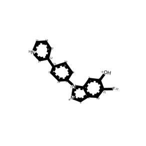 Oc1cc2c(cnn2-c2ccc(-c3cccnc3)cc2)cc1F